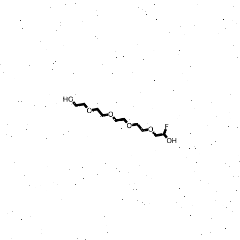 OCCOCCOCCOCCOCC(O)F